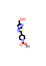 CC(C)OC(=O)N1CCC(c2nn3cc(CO)nc3s2)CC1